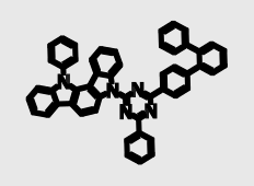 c1ccc(-c2nc(-c3ccc(-c4ccccc4-c4ccccc4)cc3)nc(-n3c4ccccc4c4c3ccc3c5ccccc5n(-c5ccccc5)c34)n2)cc1